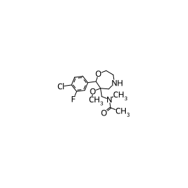 COC1(CN(C)C(C)=O)CNCCOC1c1ccc(Cl)c(F)c1